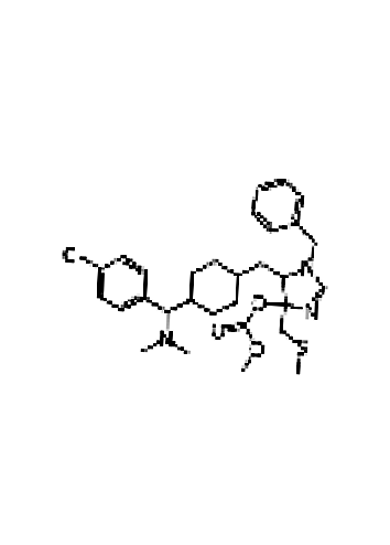 COC(=O)OC1(CSC)N=CN(Cc2ccccc2)C1CC1CCC(C(c2ccc(Cl)cc2)N(C)C)CC1